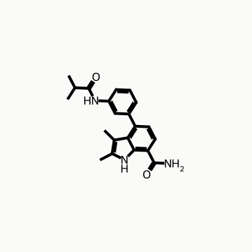 Cc1[nH]c2c(C(N)=O)ccc(-c3cccc(NC(=O)C(C)C)c3)c2c1C